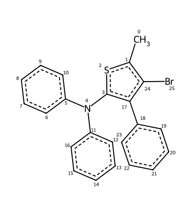 Cc1sc(N(c2ccccc2)c2ccccc2)c(-c2ccccc2)c1Br